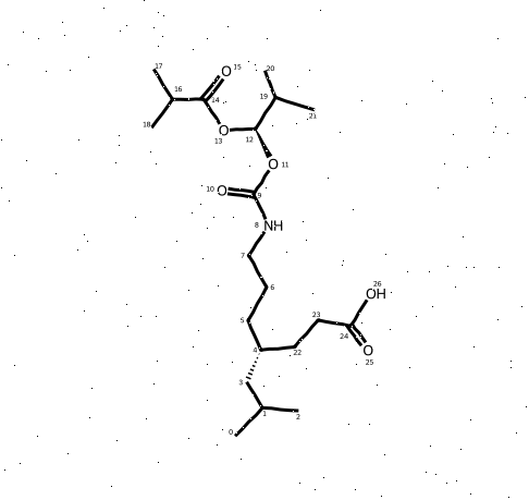 CC(C)C[C@H](CCCNC(=O)O[C@@H](OC(=O)C(C)C)C(C)C)CCC(=O)O